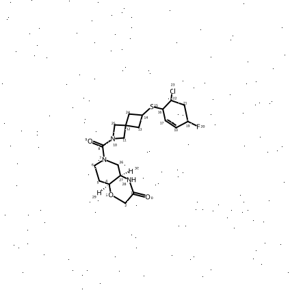 O=C1CO[C@H]2CCN(C(=O)N3CC4(CC(SC5C=CC(F)CC5Cl)C4)C3)C[C@H]2N1